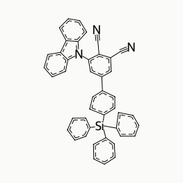 N#Cc1cc(-c2ccc([Si](c3ccccc3)(c3ccccc3)c3ccccc3)cc2)cc(-n2c3ccccc3c3ccccc32)c1C#N